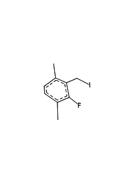 Cc1ccc(C)c(CI)c1F